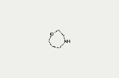 [CH]1COCCCN1